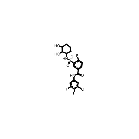 O=C(Nc1cc(F)c(F)c(Cl)c1)c1ccc(F)c(S(=O)(=O)NC2CCCC(O)C2O)c1